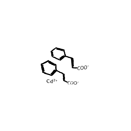 O=C([O-])C=Cc1ccccc1.O=C([O-])C=Cc1ccccc1.[Cd+2]